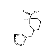 CC1(C(=O)O)CCCN(Cc2ccccc2)C1